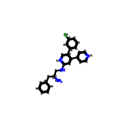 N[C@H](CNc1cc(-c2ccncc2)c(-c2cccc(F)c2)cn1)Cc1ccccc1